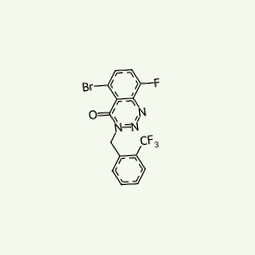 O=c1c2c(Br)ccc(F)c2nnn1Cc1ccccc1C(F)(F)F